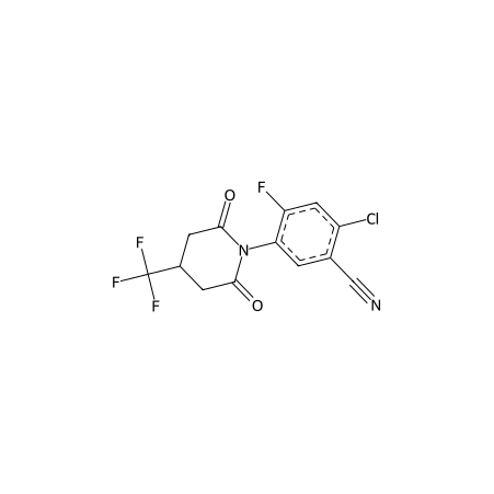 N#Cc1cc(N2C(=O)CC(C(F)(F)F)CC2=O)c(F)cc1Cl